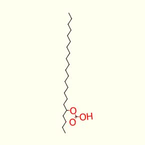 CCCCCCCCCCCCCCCCCC(CCCC)OC(=O)O